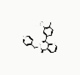 Cc1ccc(-c2nn(Cc3ccncc3)c(=O)c3cccnc23)cc1[N+](=O)[O-]